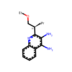 CCOC[C@H](c1nc2ccccc2c(N)c1N)C(C)C